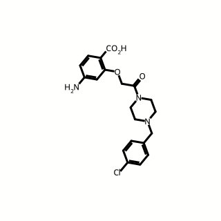 Nc1ccc(C(=O)O)c(OCC(=O)N2CCN(Cc3ccc(Cl)cc3)CC2)c1